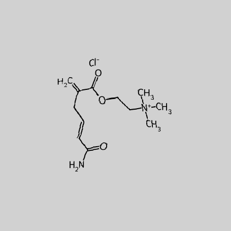 C=C(CC=CC(N)=O)C(=O)OCC[N+](C)(C)C.[Cl-]